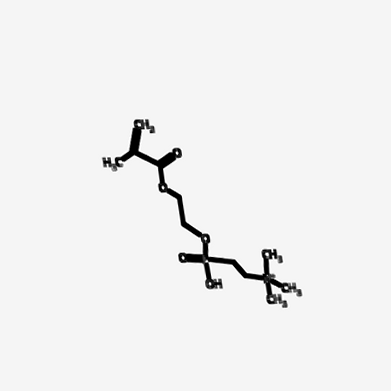 C=C(C)C(=O)OCCOP(=O)(O)CC[N+](C)(C)C